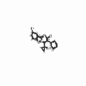 NC1(c2c(-c3ccccc3)c(Cl)nc3c4cc(F)ccc4nn23)CC1